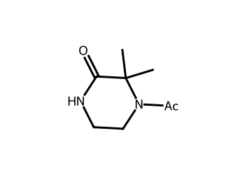 [CH2]C(=O)N1CCNC(=O)C1(C)C